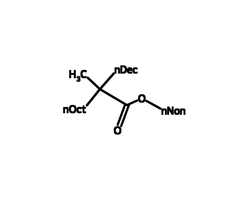 CCCCCCCCCCC(C)(CCCCCCCC)C(=O)OCCCCCCCCC